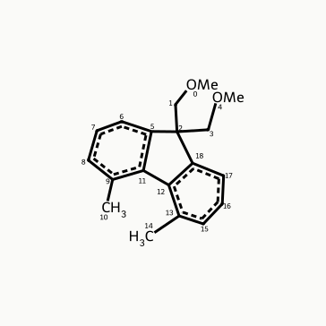 COCC1(COC)c2cccc(C)c2-c2c(C)cccc21